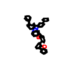 c1ccc(-c2ccc3c(c2)c2cc(-c4ccccc4)ccc2n3-c2ccc3oc4c(-c5cccc6c5oc5ccccc56)cccc4c3c2)cc1